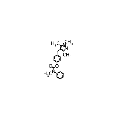 Cc1nn(C)c(C)c1Cc1ccc(OC(=O)N(C)c2ccccc2)cc1